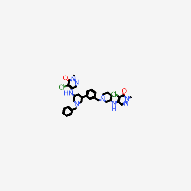 Cn1ncc(N[C@@H]2CCCN(Cc3cccc(C4C[C@H](Nc5cnn(C)c(=O)c5Cl)CN(Cc5ccccc5)C4)c3)C2)c(Cl)c1=O